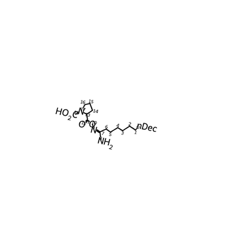 CCCCCCCCCCCCCCCC/C(N)=N\OC(=O)C1CCCN1C(=O)O